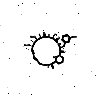 CO[C@@H]1[C@@H](C)[C@@H](OC)/C=C/C=C/CCNC(=O)[C@@H]2CCCN(N2)C(=O)[C@H](Cc2cccc(O)c2)NC(=O)[C@H](C(C)C)NC(=O)[C@@H]1C